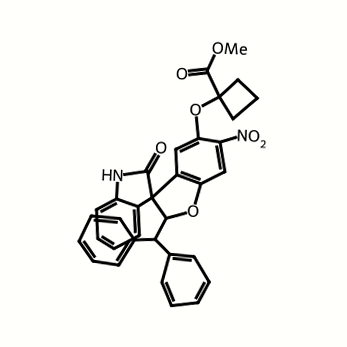 COC(=O)C1(Oc2cc3c(cc2[N+](=O)[O-])OC(C(c2ccccc2)c2ccccc2)C32C(=O)Nc3ccccc32)CCC1